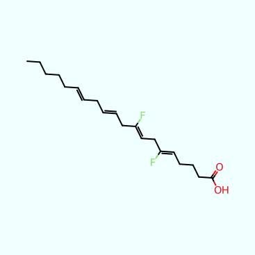 CCCCCC=CCC=CCC(F)=CCC(F)=CCCCC(=O)O